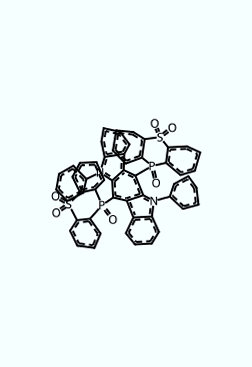 O=P1(c2c3c4ccccc4n(-c4ccccc4)c3c(P3(=O)c4ccccc4S(=O)(=O)c4ccccc43)c3c4ccccc4n(-c4ccccc4)c23)c2ccccc2S(=O)(=O)c2ccccc21